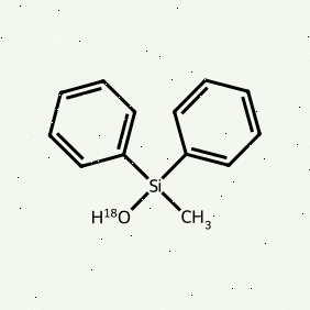 C[Si]([18OH])(c1ccccc1)c1ccccc1